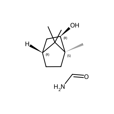 CC1(C)[C@@H]2CC[C@]1(C)[C@H](O)C2.NC=O